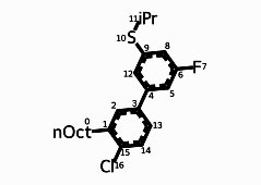 CCCCCCCCc1cc(-c2cc(F)cc(SC(C)C)c2)ccc1Cl